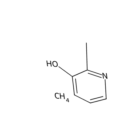 C.Cc1ncccc1O